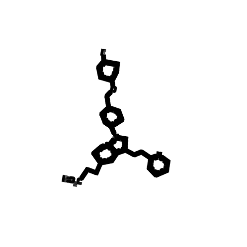 CCOC(=O)CCc1ccc2c(c1)c(CCc1ccccn1)cn2-c1ccc(COc2ccc(F)cc2)cc1